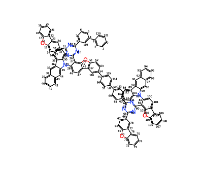 c1ccc(-c2cccc(-c3nc(-c4ccc5oc6ccccc6c5c4)nc(-c4c(-n5c6ccccc6c6cc7ccccc7cc65)ccc5c4oc4ccc(-c6ccc(-c7ccc(-c8nc(-c9ccc%10oc%11ccccc%11c%10c9)nc(-c9c(-n%10c%11ccccc%11c%11cc%12ccccc%12cc%11%10)ccc%10c9oc9ccccc9%10)n8)cc7)cc6)cc45)n3)c2)cc1